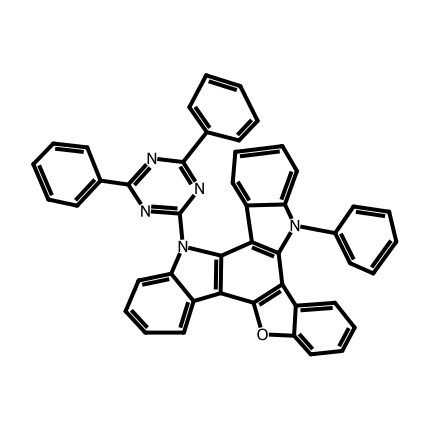 c1ccc(-c2nc(-c3ccccc3)nc(-n3c4ccccc4c4c5oc6ccccc6c5c5c(c6ccccc6n5-c5ccccc5)c43)n2)cc1